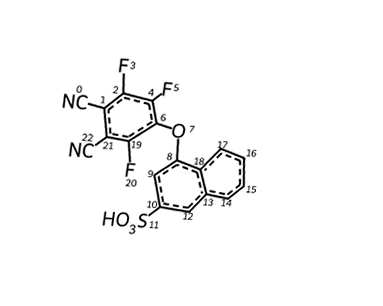 N#Cc1c(F)c(F)c(Oc2cc(S(=O)(=O)O)cc3ccccc23)c(F)c1C#N